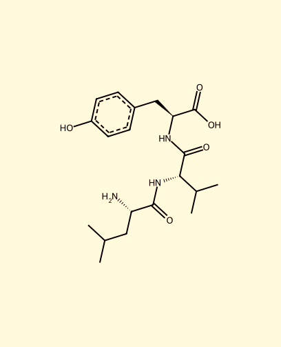 CC(C)C[C@H](N)C(=O)N[C@H](C(=O)N[C@@H](Cc1ccc(O)cc1)C(=O)O)C(C)C